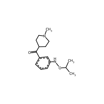 CC(C)ONc1cccc(C(=O)C2CCN(C)CC2)c1